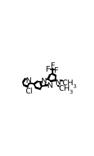 CCN(CC)c1cc(C(F)(F)F)cc2c1nc1n2-c2cc(-c3ncccc3Cl)ccc2-1